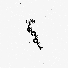 CON(C)C(=O)CCc1ccn(-c2ccc(Oc3cccc(OCC4CC4)c3)cc2)n1